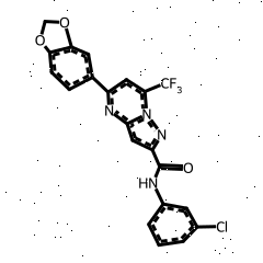 O=C(Nc1cccc(Cl)c1)c1cc2nc(-c3ccc4c(c3)OCO4)cc(C(F)(F)F)n2n1